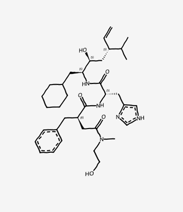 C=C[C@@H](C[C@H](O)[C@H](CC1CCCCC1)NC(=O)[C@H](Cc1c[nH]cn1)NC(=O)[C@@H](CC(=O)N(C)CCO)Cc1ccccc1)C(C)C